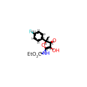 CCOC(=O)NC1=C(O)C(=O)C(C)(c2ccc(F)cc2)O1